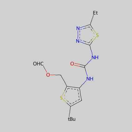 CCc1nnc(NC(=O)Nc2cc(C(C)(C)C)sc2COC=O)s1